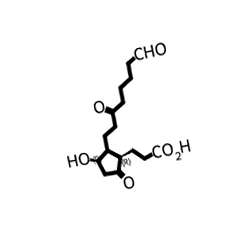 O=CCCCCC(=O)CCC1[C@H](O)CC(=O)[C@@H]1CCC(=O)O